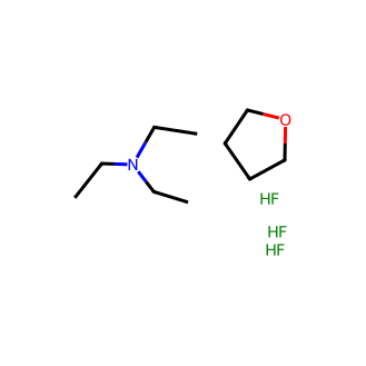 C1CCOC1.CCN(CC)CC.F.F.F